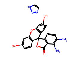 Nc1ccc2c(c1N)C(=O)OC21c2ccc(O)cc2Oc2cc(O)ccc21.c1c[nH]nn1